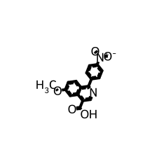 COc1ccc2c(-c3ccc([N+](=O)[O-])cc3)ncc(C(=O)O)c2c1